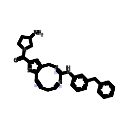 NC1CCN(C(=O)c2cc3c(s2)/C=C\C/C=N\C(Nc2cccc(Cc4ccccc4)c2)=N/C3)C1